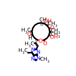 CCc1nc(/C=C(\C)[C@@H]2C[C@@H]3O[C@]3(C)CCC[C@H](C)[C@H](O)[C@@H](C)C(=O)C(C)(C)[C@@H](O)CC(=O)O2)nc2c1ncn2C